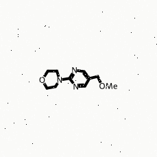 COCc1cnc(N2CCOCC2)nc1